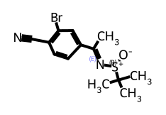 C/C(=N\[S@@+]([O-])C(C)(C)C)c1ccc(C#N)c(Br)c1